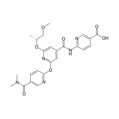 COC[C@@H](C)Oc1cc(C(=O)Nc2ccc(C(=O)O)cn2)cc(Oc2ccc(C(=O)N(C)C)cn2)n1